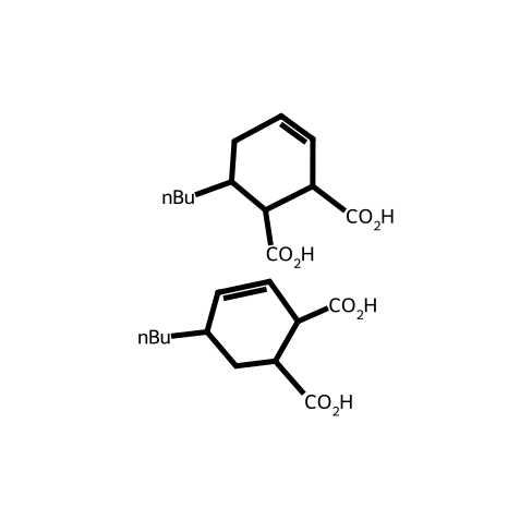 CCCCC1C=CC(C(=O)O)C(C(=O)O)C1.CCCCC1CC=CC(C(=O)O)C1C(=O)O